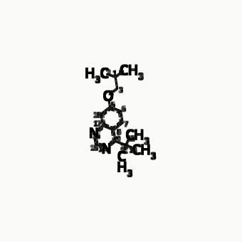 CC(C)COc1ccc2c(C(C)(C)C)ncnc2c1